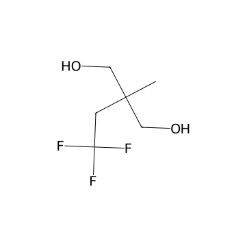 CC(CO)(CO)CC(F)(F)F